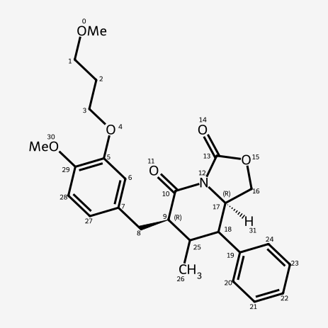 COCCCOc1cc(C[C@H]2C(=O)N3C(=O)OC[C@H]3C(c3ccccc3)C2C)ccc1OC